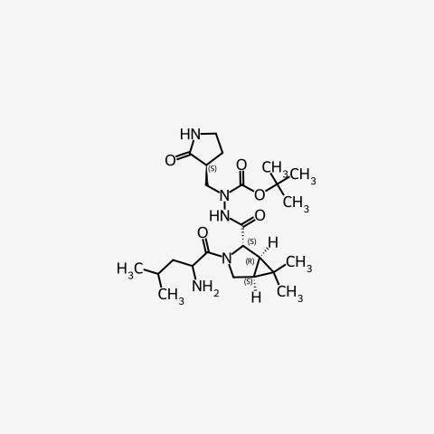 CC(C)CC(N)C(=O)N1C[C@H]2[C@@H]([C@H]1C(=O)NN(C[C@@H]1CCNC1=O)C(=O)OC(C)(C)C)C2(C)C